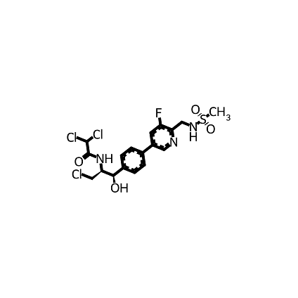 CS(=O)(=O)NCc1ncc(-c2ccc([C@@H](O)[C@@H](CCl)NC(=O)C(Cl)Cl)cc2)cc1F